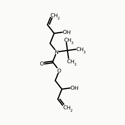 C=CC(O)COC(=O)N(CC(O)C=C)C(C)(C)C